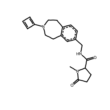 CN1C(=O)CCC1C(=O)NCc1ccc2c(c1)CCN(C1=CC=C1)CC2